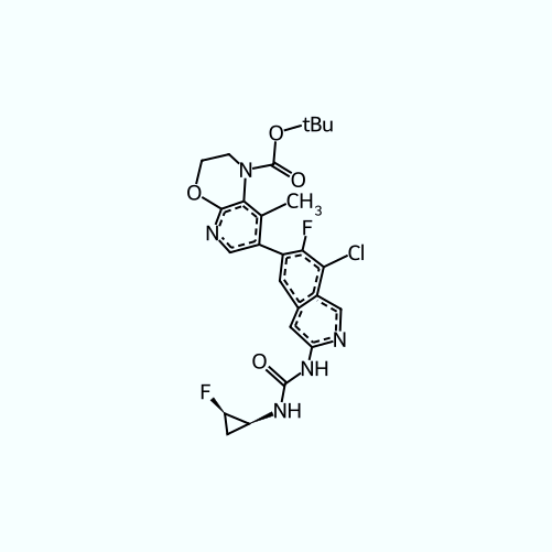 Cc1c(-c2cc3cc(NC(=O)N[C@H]4C[C@H]4F)ncc3c(Cl)c2F)cnc2c1N(C(=O)OC(C)(C)C)CCO2